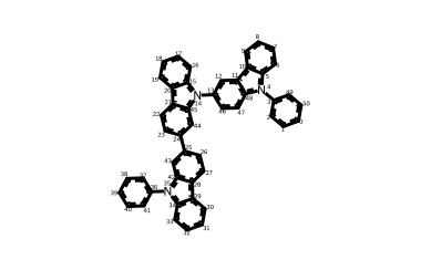 c1ccc(-n2c3ccccc3c3cc(-n4c5ccccc5c5ccc(-c6ccc7c8ccccc8n(-c8ccccc8)c7c6)cc54)ccc32)cc1